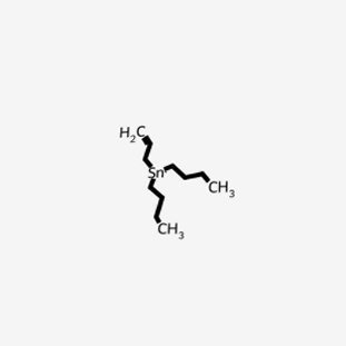 C=C[CH2][Sn]([CH2]CCC)[CH2]CCC